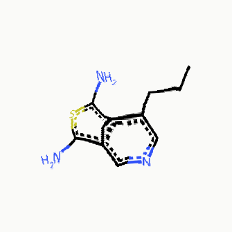 CCCc1cncc2c(N)sc(N)c12